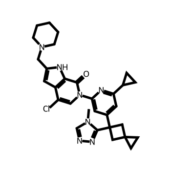 Cn1cnnc1C1(c2cc(C3CC3)nc(-n3cc(Cl)c4cc(CN5CCCCC5)[nH]c4c3=O)c2)CC2(CC2)C1